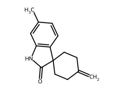 C=C1CCC2(CC1)C(=O)Nc1cc(C)ccc12